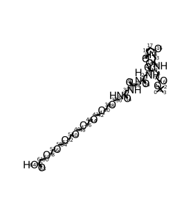 CC(C)(C)OC(=O)CC[C@H](NC(=O)CN1C(=O)C=CC1=O)C(=O)NCC(=O)NCC(=O)NCC(=O)NCCOCCOCCOCCOCCOCCOCCOCCOCCC(=O)O